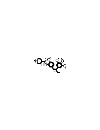 CC/C(=C/c1ccc(OC)c(NC(=O)C2CCN(C)CC2)c1)c1cc(OC)c(OC)c(OC)c1